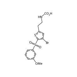 COc1cccc(S(=O)(=O)c2sc(CCNC(=O)O)cc2Br)c1